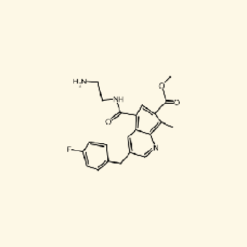 COC(=O)c1cc(C(=O)NCCN)c2cc(Cc3ccc(F)cc3)cnc2c1C